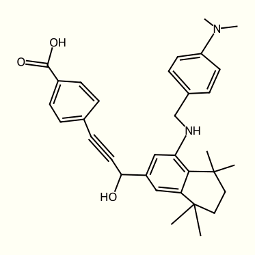 CN(C)c1ccc(CNc2cc(C(O)C#Cc3ccc(C(=O)O)cc3)cc3c2C(C)(C)CCC3(C)C)cc1